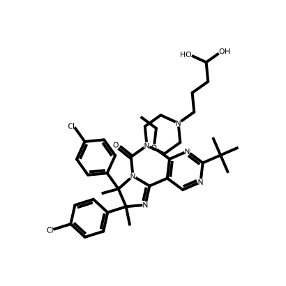 CCOc1nc(C(C)(C)C)ncc1C1=NC(C)(c2ccc(Cl)cc2)C(C)(c2ccc(Cl)cc2)N1C(=O)N1CCN(CCCC(O)O)CC1